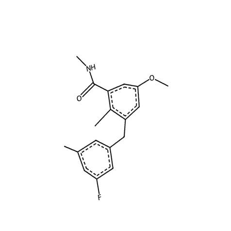 CNC(=O)c1cc(OC)cc(Cc2cc(C)cc(F)c2)c1C